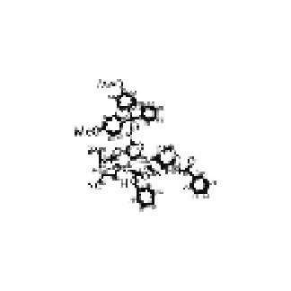 COc1ccc(C(OC[C@H]2O[C@@H](n3cnc4c(NC(=O)c5ccccc5)ncnc43)[C@H](OC(=O)Nc3ccccc3)[C@@H]2OP(OCCC#N)N(C(C)C)C(C)C)(c2ccccc2)c2ccc(OC)cc2)cc1